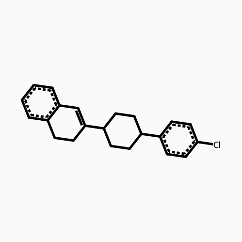 Clc1ccc(C2CCC(C3=Cc4ccccc4CC3)CC2)cc1